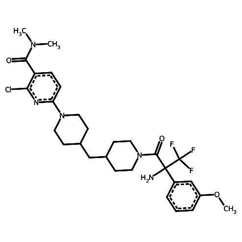 COc1cccc(C(N)(C(=O)N2CCC(CC3CCN(c4ccc(C(=O)N(C)C)c(Cl)n4)CC3)CC2)C(F)(F)F)c1